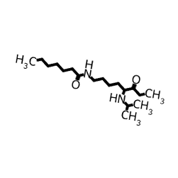 CCCCCCC(=O)NCCCCC(NC(C)C)C(=O)CC